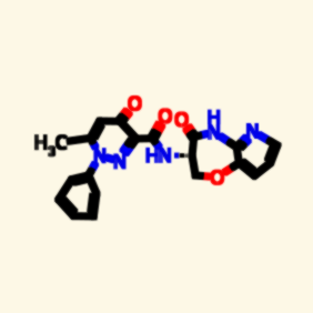 Cc1cc(=O)c(C(=O)N[C@H]2COc3cccnc3NC2=O)nn1-c1ccccc1